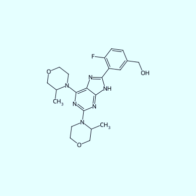 CC1COCCN1c1nc(N2CCOCC2C)c2nc(-c3cc(CO)ccc3F)[nH]c2n1